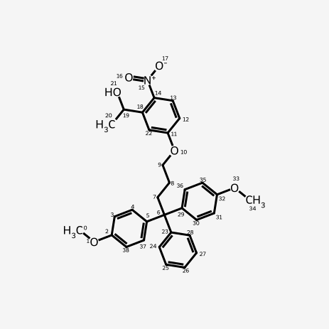 COc1ccc(C(CCCOc2ccc([N+](=O)[O-])c(C(C)O)c2)(c2ccccc2)c2ccc(OC)cc2)cc1